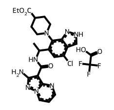 CCOC(=O)C1CCN(c2c(C(C)NC(=O)c3c(N)nn4cccnc34)cc(Cl)c3c[nH]nc23)CC1.O=C(O)C(F)(F)F